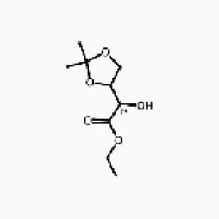 CCOC(=O)[C@H](O)C1COC(C)(C)O1